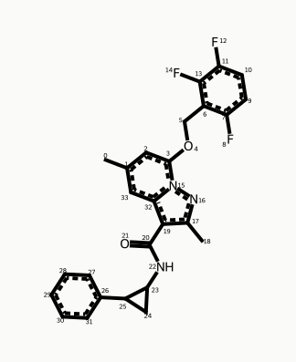 Cc1cc(OCc2c(F)ccc(F)c2F)n2nc(C)c(C(=O)NC3CC3c3ccccc3)c2c1